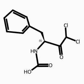 O=C(O)N[C@@H](Cc1ccccc1)C(=O)C(Cl)Cl